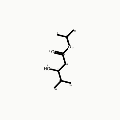 CC(C)OC(=O)CC(O)C(C)C